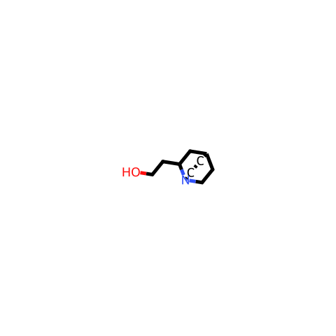 OCCC1CC2CCN1CC2